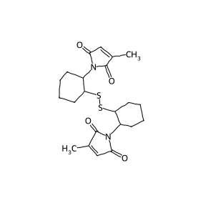 CC1=CC(=O)N(C2CCCCC2SSC2CCCCC2N2C(=O)C=C(C)C2=O)C1=O